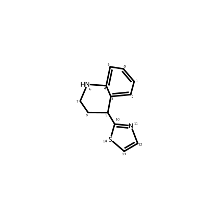 c1ccc2c(c1)NCCC2c1nccs1